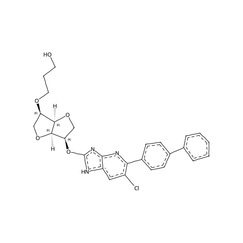 OCCCO[C@@H]1CO[C@H]2[C@@H]1OC[C@H]2Oc1nc2nc(-c3ccc(-c4ccccc4)cc3)c(Cl)cc2[nH]1